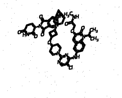 CNC(=O)COc1cc2cc(Nc3nc(N4CCC(OC5CC(N6CCC7(c8ccc9c(c8)C(=O)N([C@@H]8CCC(=O)NC8=O)C9=O)C[C@H]7C6)C5)CC4)ncc3Cl)ccc2n(C(C)C)c1=O